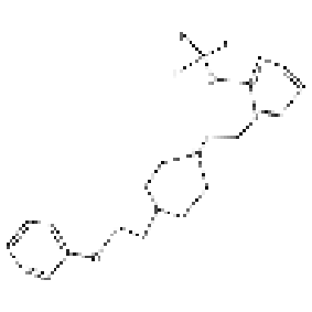 FC(F)(F)Oc1ccccc1CCN1CCN(CCOc2ccccc2)CC1